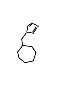 c1cn(CC2CCCCCC2)cn1